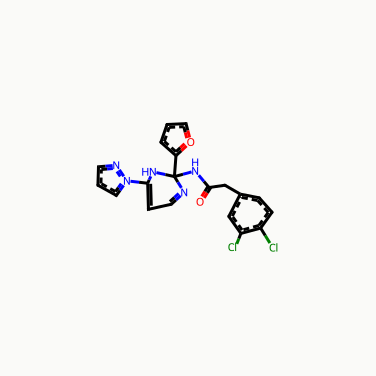 O=C(Cc1ccc(Cl)c(Cl)c1)NC1(c2ccco2)N=CC=C(n2cccn2)N1